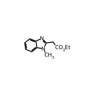 CCOC(=O)Cc1nc2ccccc2n1C